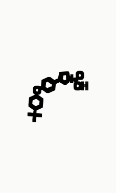 CC(C)(C)[C@H]1CC[C@H](Oc2ccc(C3=CCN(C(=O)O)C3)cc2)CC1